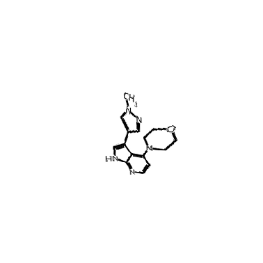 Cn1cc(-c2c[nH]c3nccc(N4CCOCC4)c23)cn1